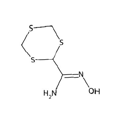 NC(=NO)C1SCSCS1